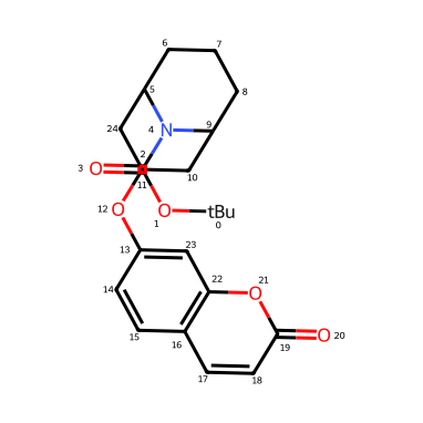 CC(C)(C)OC(=O)N1C2CCCC1CC(Oc1ccc3ccc(=O)oc3c1)C2